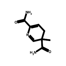 CC1(C(N)=O)C=NC(C(N)=O)=CC1